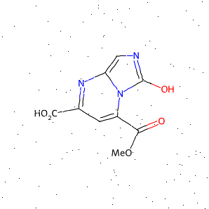 COC(=O)c1cc(C(=O)O)nc2cnc(O)n12